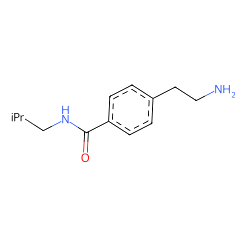 CC(C)CNC(=O)c1ccc(CCN)cc1